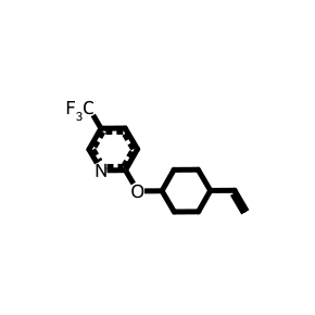 C=CC1CCC(Oc2ccc(C(F)(F)F)cn2)CC1